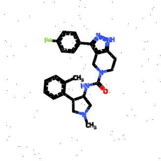 Cc1ccccc1C1CN(C)CC1NC(=O)N1CCc2[nH]nc(-c3ccc(F)cc3)c2C1